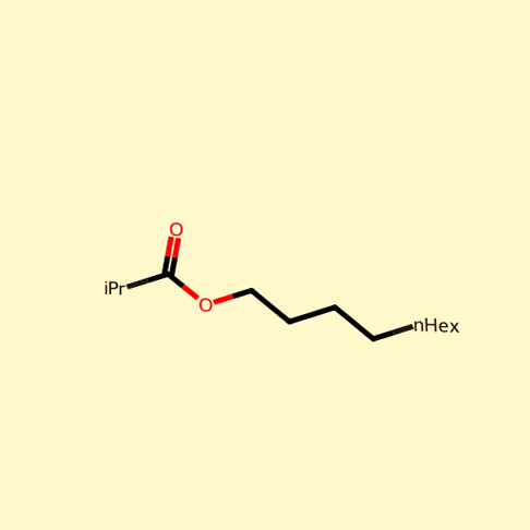 CCCCCCCCCCOC(=O)C(C)C